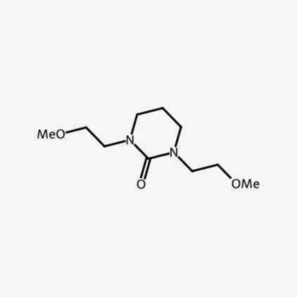 COCCN1CCCN(CCOC)C1=O